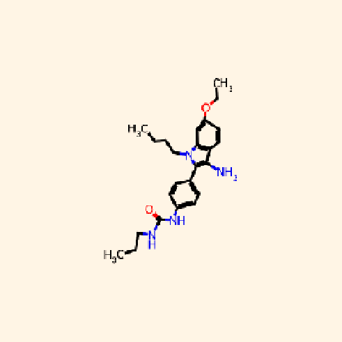 CCCCn1c(-c2ccc(NC(=O)NCCC)cc2)c(N)c2ccc(OCC)cc21